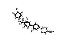 CCCC1COC(c2ccc(-c3cc(F)c(C(F)(F)Oc4cc(F)c(F)c(F)c4)c(F)c3)c(F)c2)OC1